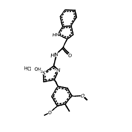 COc1cc(-c2csc(NC(=O)c3cc4ccccc4[nH]3)n2)cc(OC)c1C.Cl.O